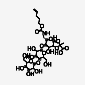 C=CCCCOC(=O)NC[C@@H]1O[C@@H]2OC(C)(C(=O)O)OC2C(O)[C@@H]1O[C@@H]1OC(CO)[C@H](O[C@H]2OC(CO)[C@H](O)[C@H](O)C2O)[C@H](O)C1O